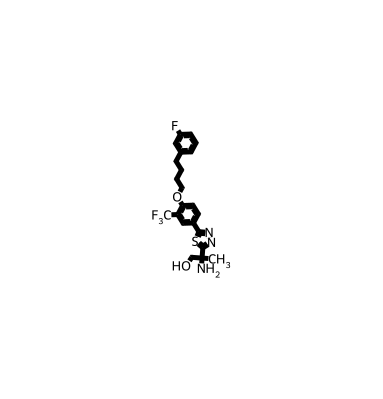 CC(N)(CO)c1nnc(-c2ccc(OCCCCc3cccc(F)c3)c(C(F)(F)F)c2)s1